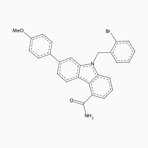 COc1ccc(-c2c[c]c3c4c(C(N)=O)cccc4n(Cc4ccccc4Br)c3c2)cc1